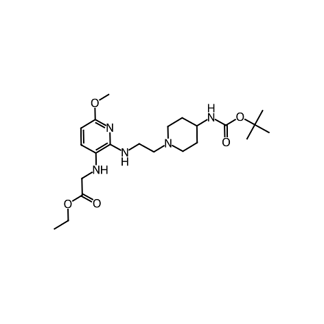 CCOC(=O)CNc1ccc(OC)nc1NCCN1CCC(NC(=O)OC(C)(C)C)CC1